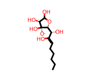 CCCCCC=C(O)[C@@H](O)[C@H]1OC(O)[C@H](O)[C@]1([O])O